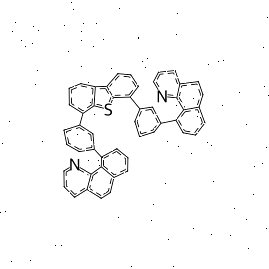 c1cc(-c2cccc3c2sc2c(-c4cccc(-c5cccc6ccc7cccnc7c56)c4)cccc23)cc(-c2cccc3ccc4cccnc4c23)c1